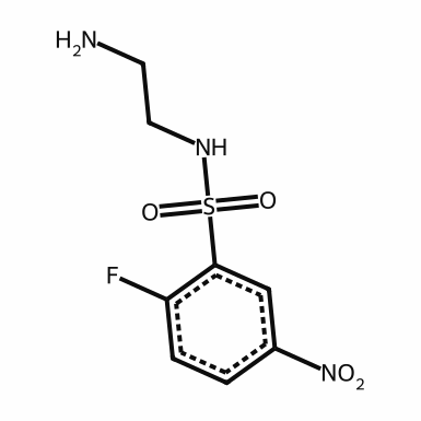 NCCNS(=O)(=O)c1cc([N+](=O)[O-])ccc1F